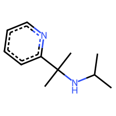 CC(C)NC(C)(C)c1ccccn1